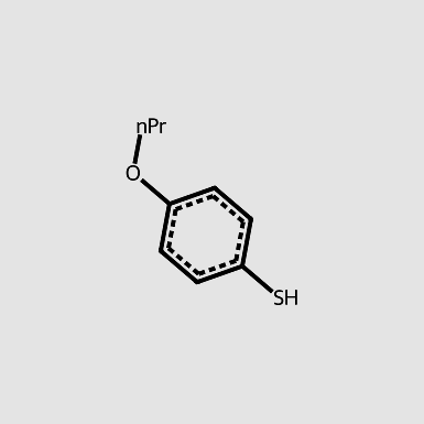 CCCOc1ccc(S)cc1